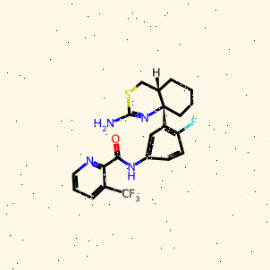 NC1=N[C@@]2(c3cc(NC(=O)c4ncccc4C(F)(F)F)ccc3F)CCCC[C@H]2CS1